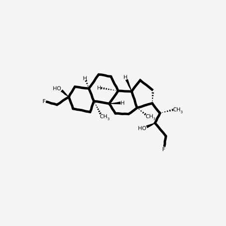 C[C@H]([C@H](O)CF)[C@H]1CC[C@H]2[C@@H]3CC[C@@H]4C[C@@](O)(CF)CC[C@]4(C)[C@H]3CC[C@]12C